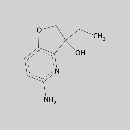 CCC1(O)COc2ccc(N)nc21